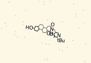 CC(C)(C)c1ccc(CN2C(=O)CC3C4CCc5cc(O)ccc5C4CC[C@]3(C)C2=O)cn1